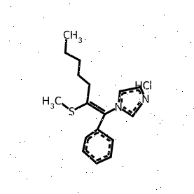 CCCCC/C(SC)=C(/c1ccccc1)n1ccnc1.Cl